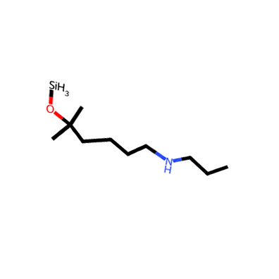 CCCNCCCCC(C)(C)O[SiH3]